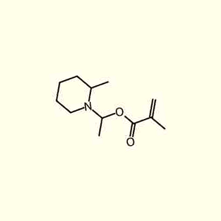 C=C(C)C(=O)OC(C)N1CCCCC1C